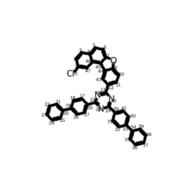 Clc1ccc2ccc3oc4ccc(-c5nc(-c6ccc(-c7ccccc7)cc6)nc(-c6ccc(-c7ccccc7)cc6)n5)cc4c3c2c1